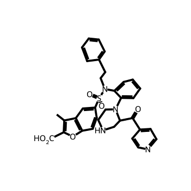 Cc1c(C(=O)O)oc2ccc(S(=O)(=O)N(CCc3ccccc3)c3ccccc3N3CCNCC3C(=O)c3ccncc3)cc12